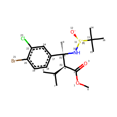 COC(=O)[C@@H](C(C)C)[C@](C)(N[S@@+]([O-])C(C)(C)C)c1ccc(Br)c(Cl)c1